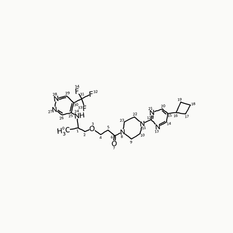 CC(COCCC(=O)N1CCN(c2ncc(C3CCC3)cn2)CC1)Nc1cnncc1C(F)(F)F